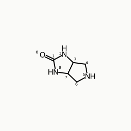 O=C1NC2CNCC2N1